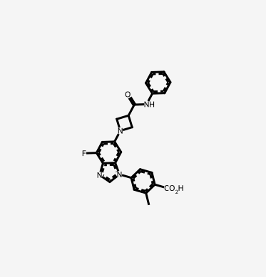 Cc1cc(-n2cnc3c(F)cc(N4CC(C(=O)Nc5ccccc5)C4)cc32)ccc1C(=O)O